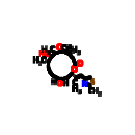 C/C(=C\c1csc(C)n1)[C@@H]1C[C@@H]2O[C@@H]2CCC[C@H](C)[C@H](O)[C@@H](C)C(=O)C(C)(C)CCC(=O)O1